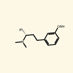 COc1cccc(CC[C@@H](C(C)C)N(C)C)c1